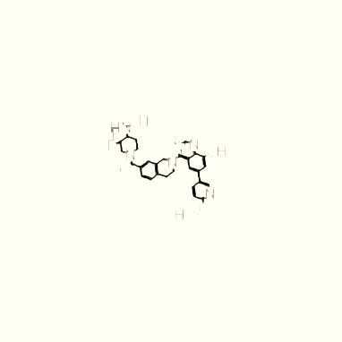 CNC1CCN(C(=O)c2ccc3c(c2)CN(c2ncnc4c(C)cc(-c5ccc(OC)nc5)cc24)CC3)CC1(F)F